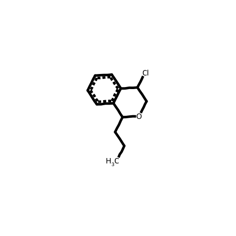 CCCC1OCC(Cl)c2ccccc21